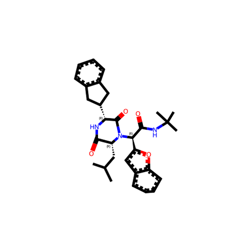 CC(C)C[C@@H]1C(=O)N[C@H](C2Cc3ccccc3C2)C(=O)N1[C@@H](C(=O)NC(C)(C)C)c1cc2ccccc2o1